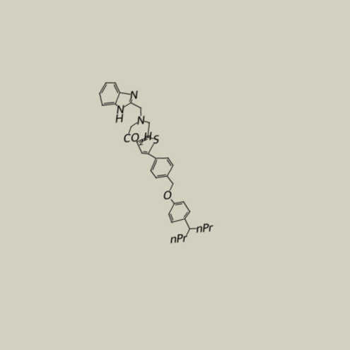 CCCC(CCC)c1ccc(OCc2ccc(-c3ccc(CN(CC(=O)O)Cc4nc5ccccc5[nH]4)s3)cc2)cc1